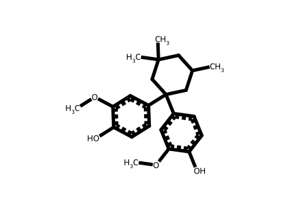 COc1cc(C2(c3ccc(O)c(OC)c3)CC(C)CC(C)(C)C2)ccc1O